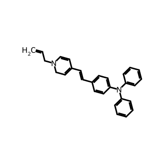 C=CCN1C=CC(C=Cc2ccc(N(c3ccccc3)c3ccccc3)cc2)=CC1